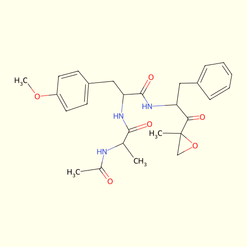 COc1ccc(CC(NC(=O)C(C)NC(C)=O)C(=O)NC(Cc2ccccc2)C(=O)C2(C)CO2)cc1